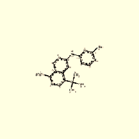 CNc1ncc(C(C)(C)N)c2cc(Nc3ccnc(C(C)(C)C)n3)ncc12